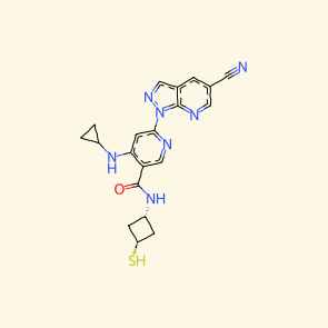 N#Cc1cnc2c(cnn2-c2cc(NC3CC3)c(C(=O)N[C@H]3C[C@H](S)C3)cn2)c1